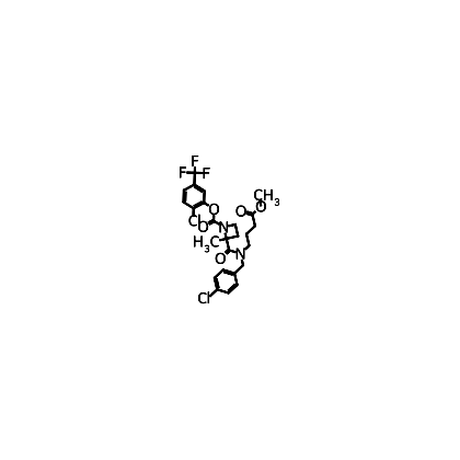 COC(=O)CCCN(Cc1ccc(Cl)cc1)C(=O)C1(C)CCN1C(=O)Oc1cc(C(F)(F)F)ccc1Cl